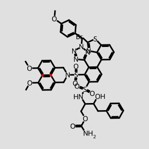 COc1ccc(CN(Cc2ccc(OC)cc2)S(=O)(=O)c2c(S(=O)(=O)NC(COC(N)=O)C(O)Cc3ccccc3)ccc(-c3cccc4sc(Br)nc34)c2-c2nnn(Cc3ccc(OC)cc3)n2)cc1